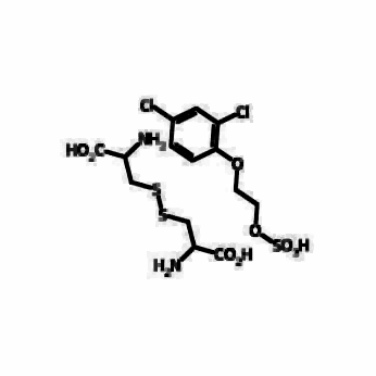 NC(CSSCC(N)C(=O)O)C(=O)O.O=S(=O)(O)OCCOc1ccc(Cl)cc1Cl